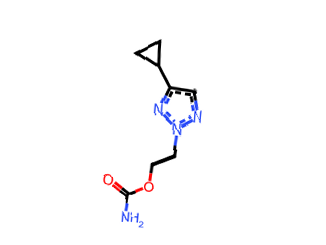 NC(=O)OCCn1ncc(C2CC2)n1